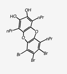 CCCc1c(Br)c(Br)c(Br)c2c1Oc1c(CCC)c(O)c(O)c(CCC)c1O2